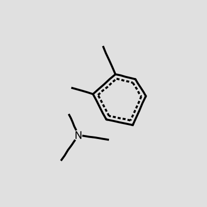 CN(C)C.Cc1ccccc1C